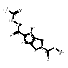 CCn1c(C(=O)NNC(=O)C(F)(F)F)nc2c1CN(C(=O)OC(C)(C)C)C2